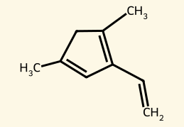 C=CC1=C(C)CC(C)=C1